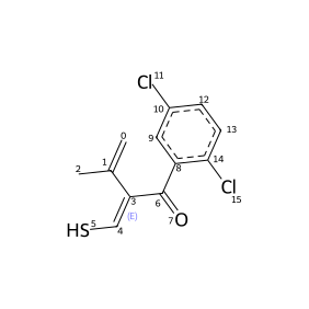 C=C(C)/C(=C\S)C(=O)c1cc(Cl)ccc1Cl